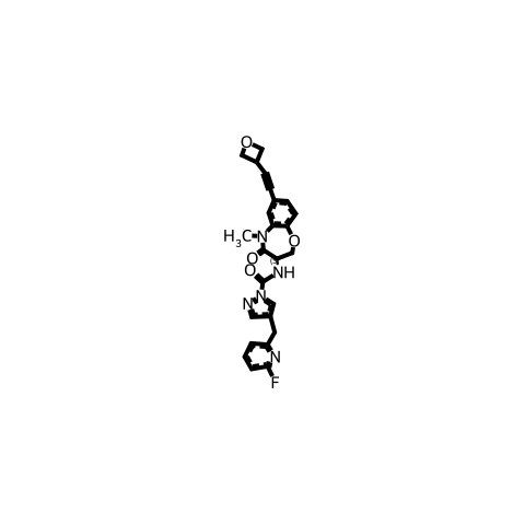 CN1C(=O)[C@@H](NC(=O)n2cc(Cc3cccc(F)n3)cn2)COc2ccc(C#CC3COC3)cc21